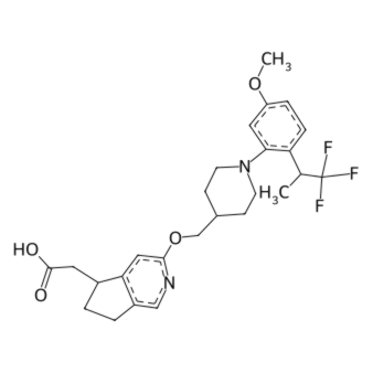 COc1ccc(C(C)C(F)(F)F)c(N2CCC(COc3cc4c(cn3)CCC4CC(=O)O)CC2)c1